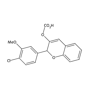 COc1cc(C2Oc3ccccc3C=C2OC(=O)O)ccc1Cl